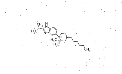 CCCCCCN1CC[C@](C)(c2ccc3[nH]c(C(C)C)nc3c2)[C@@H](C)C1